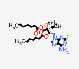 C#C[C@](COC(=O)CCCCCC)(OC)[C@H](Cn1cnc2c(N)nc(F)nc21)OC(=O)CCCCCC